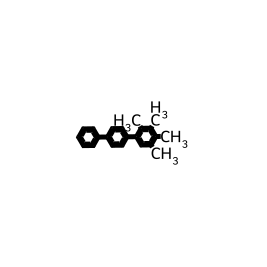 Cc1cc(-c2ccc(-c3ccccc3)cc2)c(C)c(C)c1C